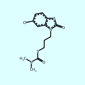 CN(C)C(=O)SCCCn1c(=O)sc2ccc(Cl)cc21